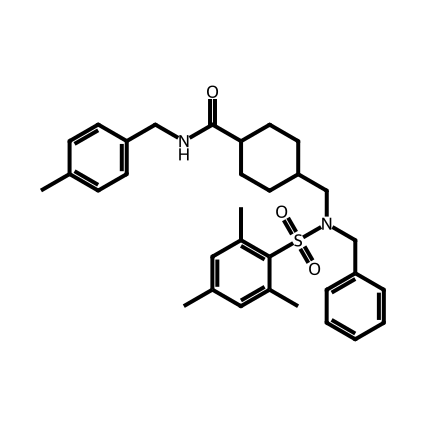 Cc1ccc(CNC(=O)C2CCC(CN(Cc3ccccc3)S(=O)(=O)c3c(C)cc(C)cc3C)CC2)cc1